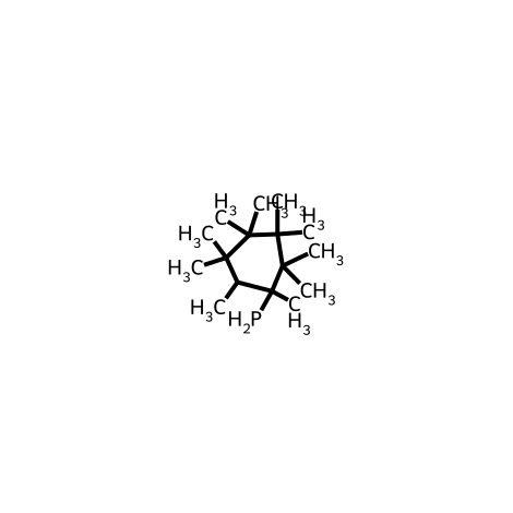 CC1C(C)(C)C(C)(C)C(C)(C)C(C)(C)C1(C)P